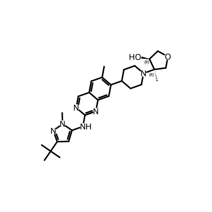 Cc1cc2cnc(Nc3cc(C(C)(C)C)nn3C)nc2cc1C1CCN([C@]2(C)COC[C@@H]2O)CC1